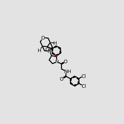 O=C(NCC(=O)N1CCC(N2C[C@H]3COC[C@@H](C2)[C@]3(O)c2ccccc2)C1)c1ccc(Cl)c(Cl)c1